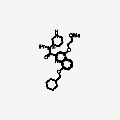 COCCOc1cc(C(=O)N(C(C)C)[C@@H]2CCCNC2)nc2c(OCC3CCCCC3)cccc12